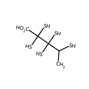 CC(S)C(S)(S)C(S)(S)C(=O)O